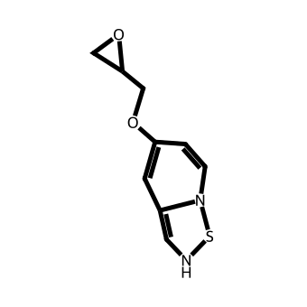 C1=CN2SNC=C2C=C1OCC1CO1